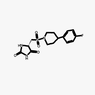 O=C1NC(=O)[C@@H](CS(=O)(=O)N2CCC(c3ccc(F)cc3)CC2)N1